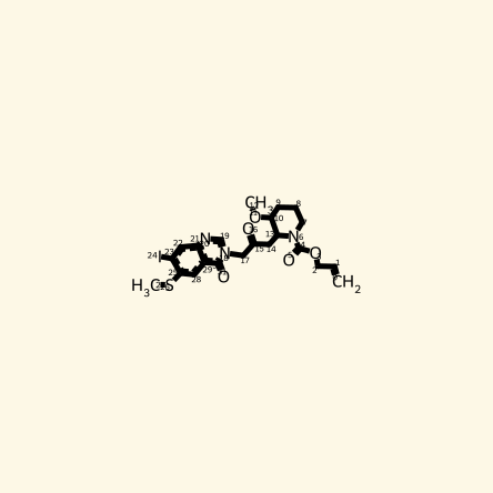 C=CCOC(=O)N1CCCC(OC)C1CC(=O)Cn1cnc2cc(I)c(SC)cc2c1=O